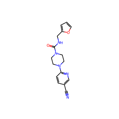 N#Cc1ccc(N2CCN(C(=O)NCc3ccco3)CC2)nc1